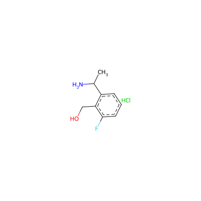 CC(N)c1cccc(F)c1CO.Cl